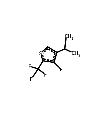 CC(C)c1csc(C(F)(F)F)c1F